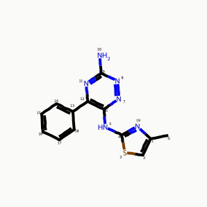 Cc1csc(Nc2nnc(N)nc2-c2ccccc2)n1